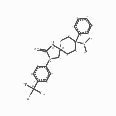 CN(C)[C@]1(c2ccccc2)CC[C@]2(CC1)CN(c1ccc(C(F)(F)F)cc1)C(=O)N2